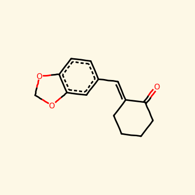 O=C1CCCCC1=Cc1ccc2c(c1)OCO2